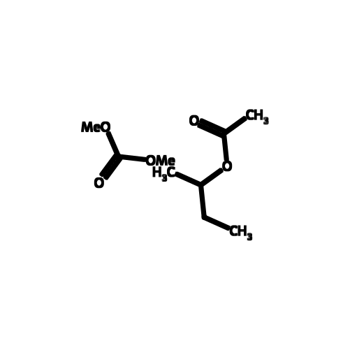 CCC(C)OC(C)=O.COC(=O)OC